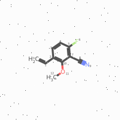 C=Cc1ccc(F)c(C#N)c1OC